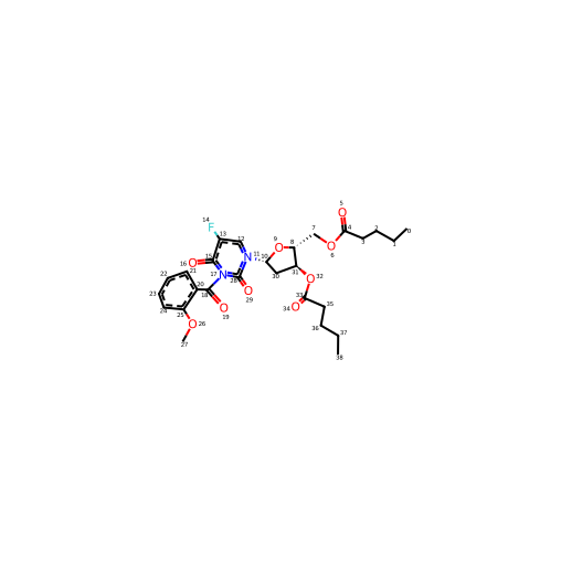 CCCCC(=O)OC[C@H]1O[C@@H](n2cc(F)c(=O)n(C(=O)c3ccccc3OC)c2=O)C[C@@H]1OC(=O)CCCC